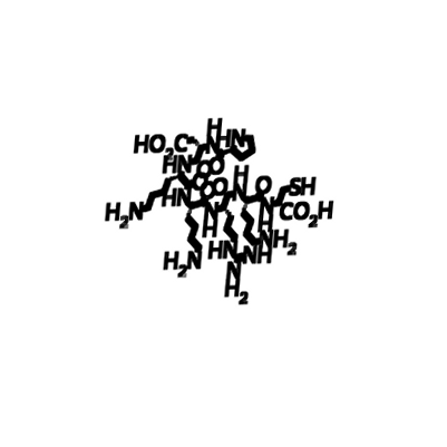 N=C(N)NCCC[C@H](NC(=O)[C@H](CCCCN)NC(=O)[C@H](CCCCN)NC(=O)[C@H](CC(=O)O)NC(=O)[C@@H]1CCCN1)C(=O)N[C@@H](CCCCN)C(=O)N[C@@H](CS)C(=O)O